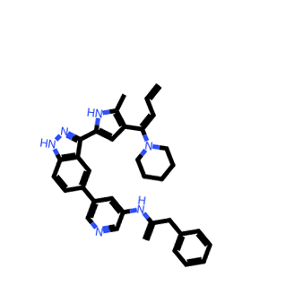 C=C/C=C(\c1cc(-c2n[nH]c3ccc(-c4cncc(NC(=C)Cc5ccccc5)c4)cc23)[nH]c1C)N1CCCCC1